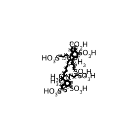 CC1(C)C(/C=C/C=C/C=C2/N(CCCS(=O)(=O)O)c3c(cc(S(=O)(=O)O)c4sc(C(=O)O)cc34)C2(C)CCCS(=O)(=O)O)=[N+](CCCS(=O)(=O)O)c2cc(S(=O)(=O)O)c3sc(S(=O)(=O)O)cc3c21